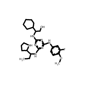 CCC(Nc1nc(Nc2ccc(OC)c(F)c2)nc(NC(CO)C2CCCCC2)n1)C1CCCN1